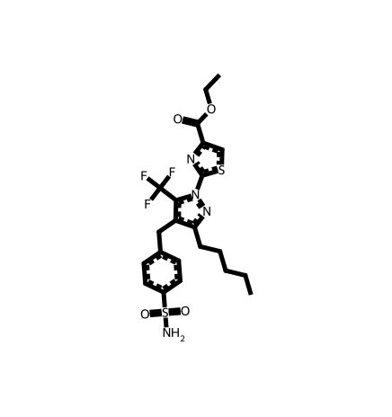 CCCCCc1nn(-c2nc(C(=O)OCC)cs2)c(C(F)(F)F)c1Cc1ccc(S(N)(=O)=O)cc1